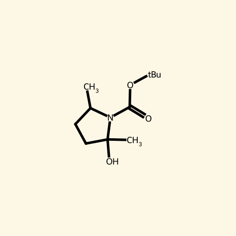 CC1CCC(C)(O)N1C(=O)OC(C)(C)C